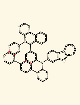 c1ccc(-c2ccc(-c3ccccc3N(c3cccc(-c4c(-c5ccccc5)c5ccccc5c5ccccc45)c3)c3ccc4c(c3)oc3ccccc34)cc2)cc1